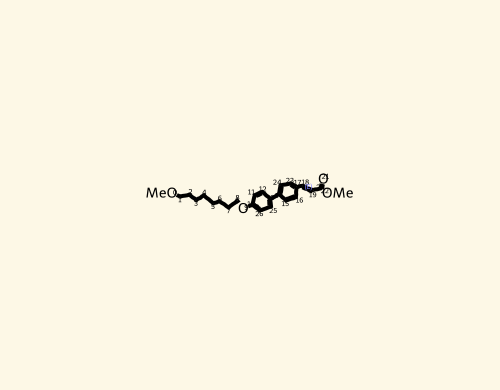 COCCCCCCCCOc1ccc(-c2ccc(/C=C/C(=O)OC)cc2)cc1